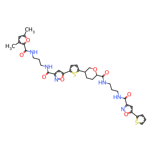 Cc1cc(C)c(C(=O)NCCCNC(=O)c2cc(-c3ccc(C4CCC(C(=O)NCCCNC(=O)c5cc(-c6cccs6)on5)OC4)s3)on2)o1